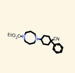 CCOC(=O)N1CCCN(C2CCC(C#N)(c3ccccc3)CC2)CCC1